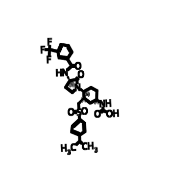 CC(C)c1ccc(S(=O)(=O)C[C@@H]2C[C@H](NC(=O)O)CC[C@@H]2N2CC[C@H](NC(=O)c3cccc(C(F)(F)F)c3)C2=O)cc1